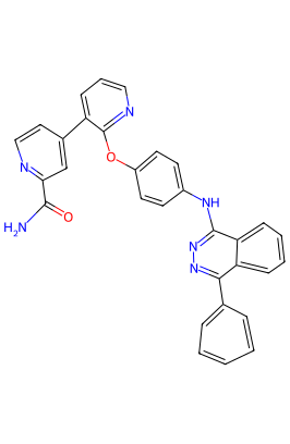 NC(=O)c1cc(-c2cccnc2Oc2ccc(Nc3nnc(-c4ccccc4)c4ccccc34)cc2)ccn1